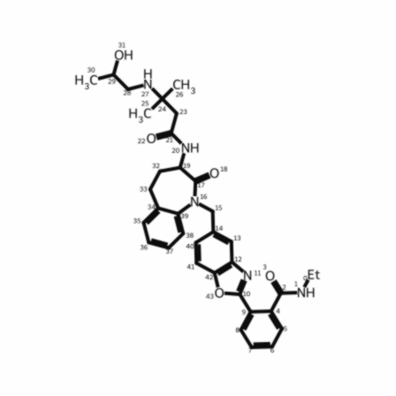 CCNC(=O)c1ccccc1-c1nc2cc(CN3C(=O)C(NC(=O)CC(C)(C)NCC(C)O)CCc4ccccc43)ccc2o1